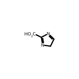 O=C(O)C1=NCC=N1